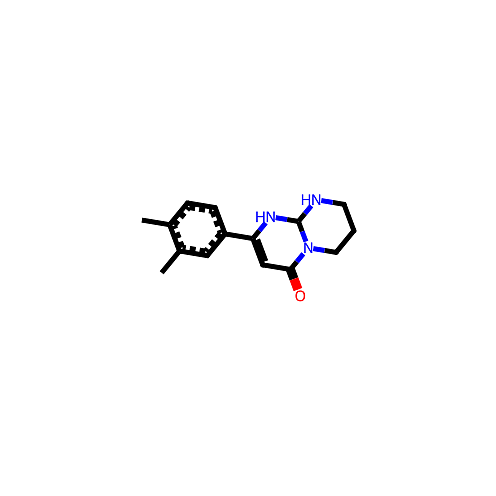 Cc1ccc(C2=CC(=O)N3CCCNC3N2)cc1C